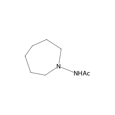 CC(=O)NN1CCCCCC1